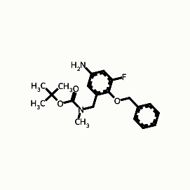 CN(Cc1cc(N)cc(F)c1OCc1ccccc1)C(=O)OC(C)(C)C